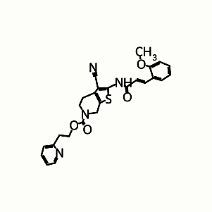 COc1ccccc1C=CC(=O)Nc1sc2c(c1C#N)CCN(C(=O)OCCc1ccccn1)C2